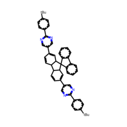 CC(C)(C)c1ccc(-c2ncc(C3=CC4C(C=C3)C3C=CC(c5cnc(-c6ccc(C(C)(C)C)cc6)nc5)=CC3C43c4ccccc4-c4ccccc43)cn2)cc1